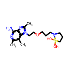 Cc1nc(N)c2nc(C)n(CCOCCCN3CCCS3(O)O)c2c1C